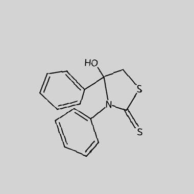 OC1(c2ccccc2)CSC(=S)N1c1ccccc1